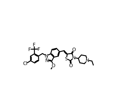 CCN1CCC(N2C(=O)SC(=Cc3ccc4c(c3)c(OC)nn4Cc3ccc(Cl)cc3C(F)(F)F)C2=O)CC1